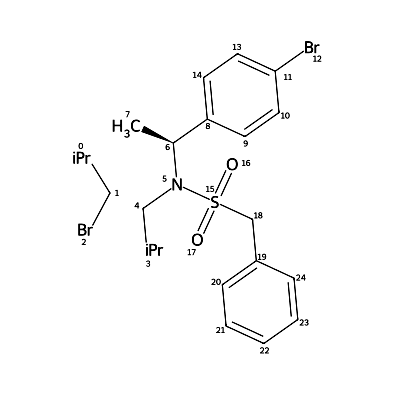 CC(C)CBr.CC(C)CN([C@@H](C)c1ccc(Br)cc1)S(=O)(=O)Cc1ccccc1